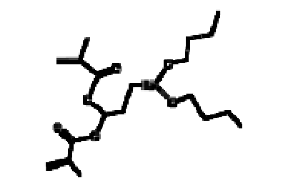 C=C(C)C(=O)OC(CC[SiH](OCCCC)OCCCC)OC(=O)C(=C)C